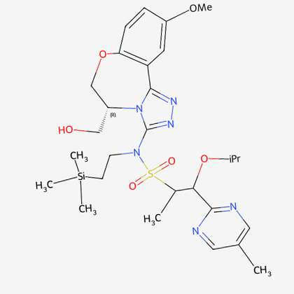 COc1ccc2c(c1)-c1nnc(N(CC[Si](C)(C)C)S(=O)(=O)C(C)C(OC(C)C)c3ncc(C)cn3)n1[C@H](CO)CO2